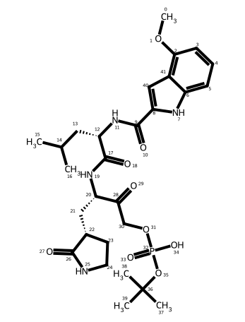 COc1cccc2[nH]c(C(=O)N[C@@H](CC(C)C)C(=O)N[C@@H](C[C@@H]3CCNC3=O)C(=O)COP(=O)(O)OC(C)(C)C)cc12